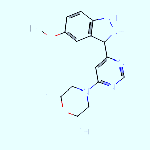 COc1ccc2c(c1)C(c1cc(N3C[C@@H](C)O[C@@H](C)C3)ncn1)NN2